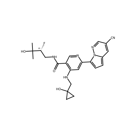 CC(C)(O)[C@H](F)CNC(=O)c1cnc(-c2ccc3cc(C#N)cnn23)cc1NCC1(O)CC1